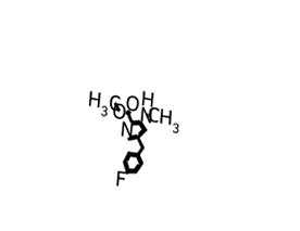 CNc1cc(Cc2ccc(F)cc2)cnc1C(=O)OC